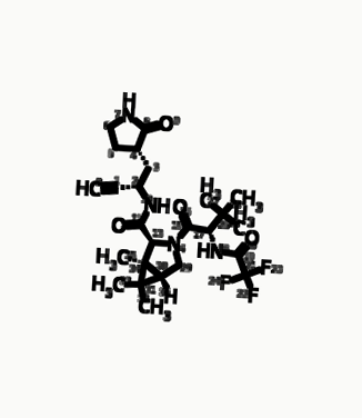 C#C[C@H](C[C@@H]1CCNC1=O)NC(=O)[C@H]1N(C(=O)[C@@H](NC(=O)C(F)(F)F)C(C)(C)C)C[C@@H]2C(C)(C)[C@]21C